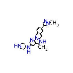 C=C(Nc1cc2cc(-c3cnn(C)c3)ccc2cn1)c1cncc(NC2CCNCC2)c1